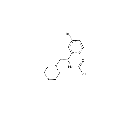 O=C(O)NC(CN1CCOCC1)c1cccc(Br)c1